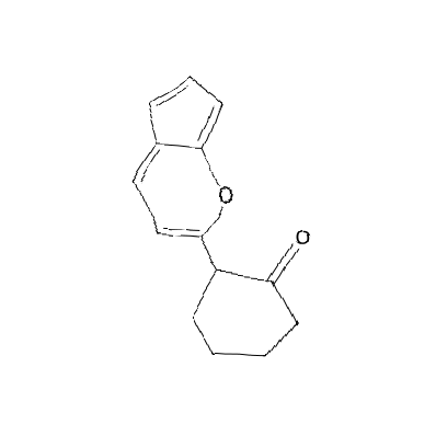 O=C1CCCCC1c1ccc2cccc-2o1